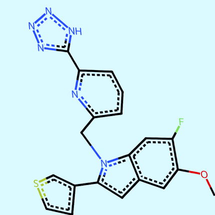 COc1cc2cc(-c3ccsc3)n(Cc3cccc(-c4nnn[nH]4)n3)c2cc1F